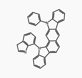 C1=Nc2c(cccc2-n2c3ccccc3c3ccc4cc5c6ccccc6n(-c6ccccc6)c5cc4c32)C1